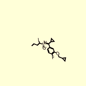 CCCC(I)[S@+]([O-])/N=C(\c1ccc(F)c(OCC2CC2)c1)C1CC1